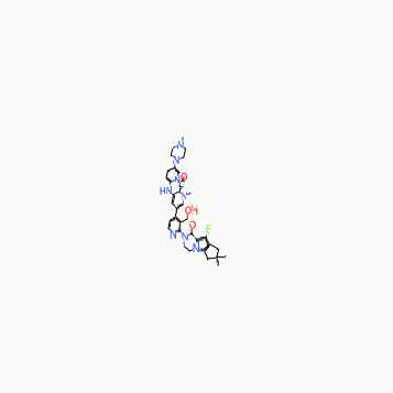 CN1CCN(c2ccc(NC3=CC(c4ccnc(N5CCn6c7c(c(F)c6C5=O)CC(C)(C)C7)c4CO)=CN(C)C3=C=O)nc2)CC1